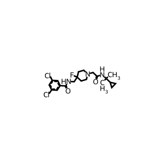 CC(C)(NC(=O)CN1CCC(F)(CNC(=O)c2cc(Cl)cc(Cl)c2)CC1)C1CC1